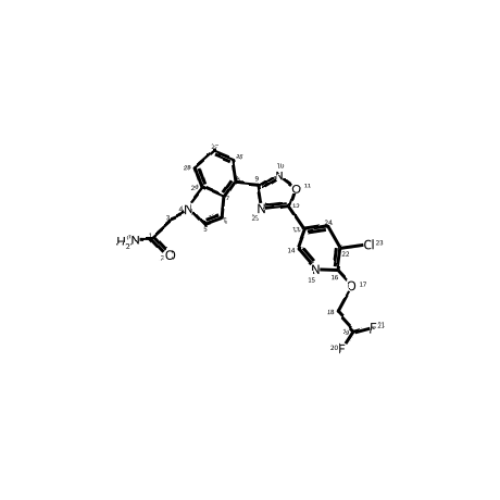 NC(=O)Cn1ccc2c(-c3noc(-c4cnc(OCC(F)F)c(Cl)c4)n3)cccc21